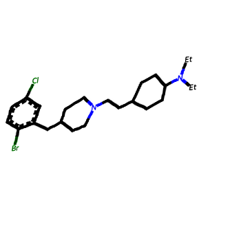 CCN(CC)C1CCC(CCN2CCC(Cc3cc(Cl)ccc3Br)CC2)CC1